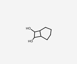 OC1C(O)C2CCCCC12